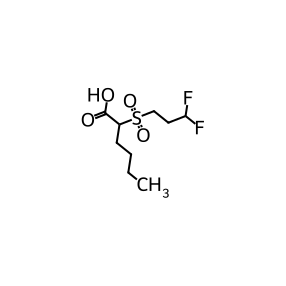 CCCCC(C(=O)O)S(=O)(=O)CCC(F)F